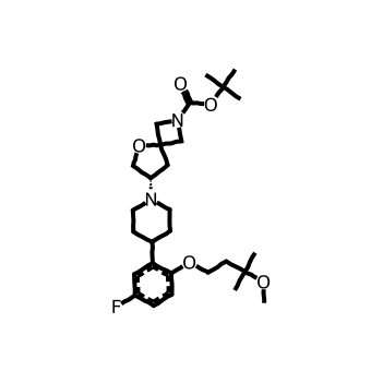 COC(C)(C)CCOc1ccc(F)cc1C1CCN([C@@H]2COC3(C2)CN(C(=O)OC(C)(C)C)C3)CC1